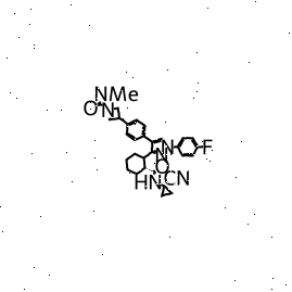 CNC(=O)N1CC(c2ccc(-c3cn(-c4ccc(F)cc4)nc3C3CCCC[C@H]3C(=O)NC3(C#N)CC3)cc2)C1